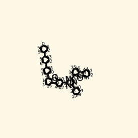 c1ccc(-c2ccc(-c3ccc(-c4cccc5c4oc4cc(-c6nc(-c7ccccc7)nc(-c7cccc8c7oc7ccccc78)n6)ccc45)cc3)cc2)cc1